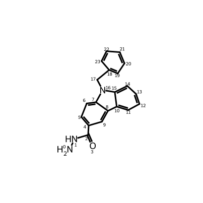 NNC(=O)c1ccc2c(c1)c1ccccc1n2Cc1ccccc1